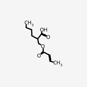 CC=CC(=O)OCC(CCCC)C(=O)O